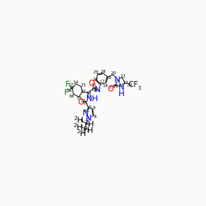 [2H]C([2H])([2H])C([2H])([2H])n1ccc(C(=O)NC(c2nc3cc(CN4CC(C(F)(F)F)NC4=O)ccc3o2)C2CCC(F)(F)CC2)n1